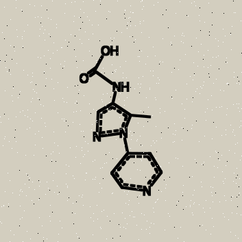 Cc1c(NC(=O)O)cnn1-c1ccncc1